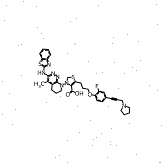 Cc1c(Nc2nc3ccccc3s2)nnc2c1CCCN2N1CSC(CCCOc2ccc(C#CCN3CCCC3)cc2F)=C1C(=O)O